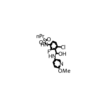 CCCS(=O)(=O)Nc1ccc(Cl)c(C(O)Nc2ccc(OC)nc2)c1F